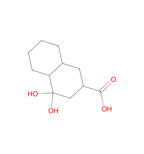 O=C(O)C1CC2CCCCC2C(O)(O)C1